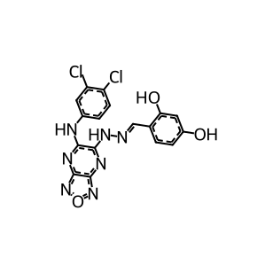 Oc1ccc(C=NNc2nc3nonc3nc2Nc2ccc(Cl)c(Cl)c2)c(O)c1